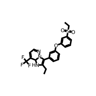 CCC1=C(c2cccc(Oc3cccc(S(=O)(=O)CC)c3)c2)N2N=CC=C(C(F)(F)F)C2N1